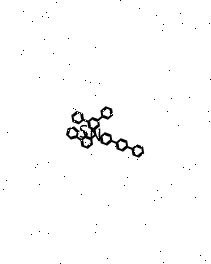 c1ccc(-c2ccc(-c3ccc(N(c4cc(-c5ccccc5)cc(-c5ccccc5)c4)c4cccc5c4sc4ccccc45)cc3)cc2)cc1